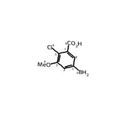 Bc1cc(OC)c(Cl)c(C(=O)O)c1